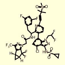 CC(C)(C#Cc1ccc(-c2ccc(Cl)c3c(NS(=O)(=O)C4CC4)nn(CC(F)F)c23)c(C(Cc2cc(F)cc(F)c2)NC(=O)Cn2nc(C(F)(F)F)c3c2C(F)(F)[C@@H]2C[C@H]32)n1)S(C)(=O)=O